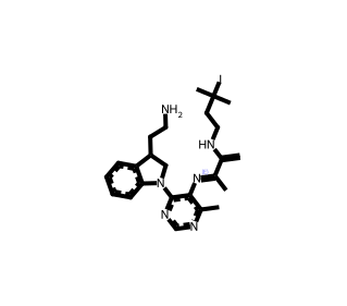 C=C(NCCC(C)(C)I)/C(C)=N/c1c(C)ncnc1N1CC(CCN)c2ccccc21